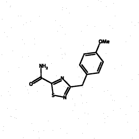 COc1ccc(Cc2nsc(C(N)=O)n2)cc1